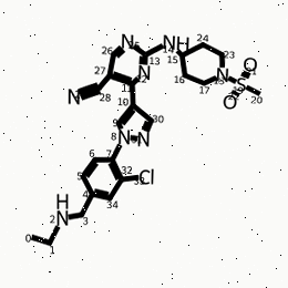 CCNCc1ccc(-n2cc(-c3nc(NC4CCN(S(C)(=O)=O)CC4)ncc3C#N)cn2)c(Cl)c1